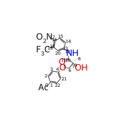 CC(=O)c1ccc(OC[C@](C)(O)C(=O)Nc2ccc([N+](=O)[O-])c(C(F)(F)F)c2)cc1